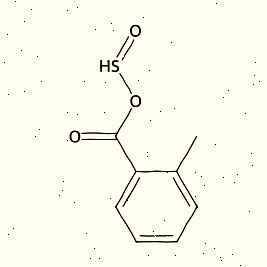 Cc1ccccc1C(=O)O[SH]=O